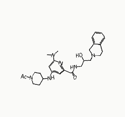 CC(=O)N1CCC(Nc2cc(C(=O)NCC(O)CN3CCc4ccccc4C3)nc(N(C)C)c2)CC1